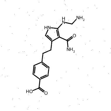 NCNc1[nH]cc(CCc2ccc(C(=O)O)cc2)c1C(N)=O